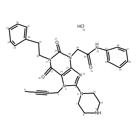 CC#CCn1c(N2CCNCC2)nc2c1c(=O)n(CCc1ccccc1)c(=O)n2CC(=O)Nc1ccccc1.Cl